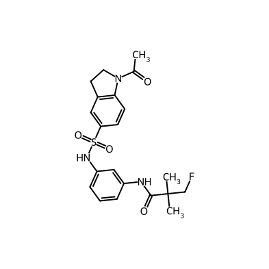 CC(=O)N1CCc2cc(S(=O)(=O)Nc3cccc(NC(=O)C(C)(C)CF)c3)ccc21